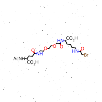 CC(=O)NC(CCC(=O)NCCOCCOCC(=O)NC(CCCCNC(=O)CBr)C(=O)O)C(=O)O